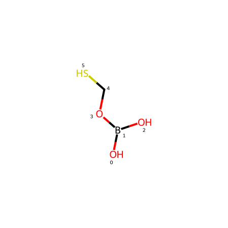 OB(O)OCS